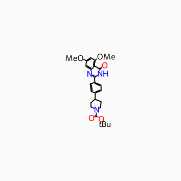 COc1cc(OC)c2c(=O)[nH]c(-c3ccc(C4CCN(C(=O)OC(C)(C)C)CC4)cc3)nc2c1